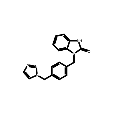 O=c1[nH]c2ccccc2n1Cc1ccc(Cn2ccnn2)cc1